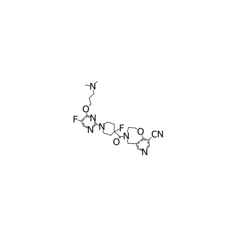 CN(C)CCCOc1nc(N2CCC(F)(C(=O)N3CCOc4c(C#N)cncc4C3)CC2)ncc1F